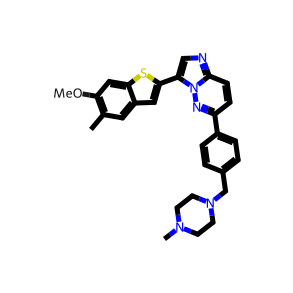 COc1cc2sc(-c3cnc4ccc(-c5ccc(CN6CCN(C)CC6)cc5)nn34)cc2cc1C